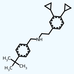 CC(C)(C)c1ccc(CNCCc2ccc(C3CC3)c(C3CC3)c2)cc1